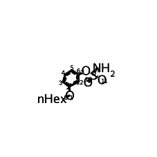 CCCCCCOc1cccc(OS(N)(=O)=O)c1